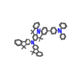 CC1(C)C2=CC(N(c3ccc4c(c3)C(C)(C)c3ccccc3-4)c3cc4c5c(c3)C(C)(C)c3cc(-c6ccc(N(c7ccccc7)c7ccccc7)cc6)ccc3N5c3ccccc3C4(C)C)CC=C2c2ccccc21